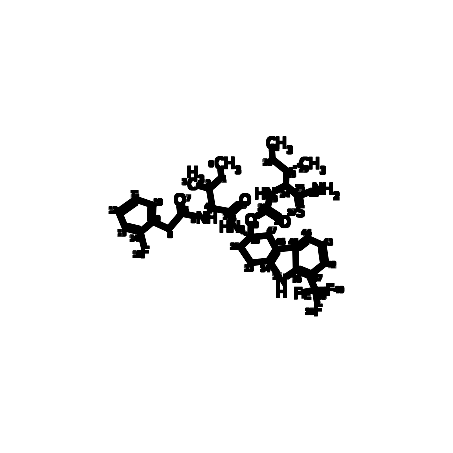 CCC(C)[C@H](NC(=O)Cc1ccccc1F)C(=O)N[C@@]1(OC(=O)NC(C(N)=S)[C@@H](C)CC)CCc2[nH]c3c(C(F)(F)F)cccc3c2C1